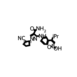 CC(C)C1=CB(O)Oc2ccc(Nc3nn([C@@H]4CCC[C@H]4C#N)cc3C(N)=O)cc21